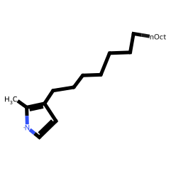 CCCCCCCCCCCCCCCC1=C(C)[N]C=C1